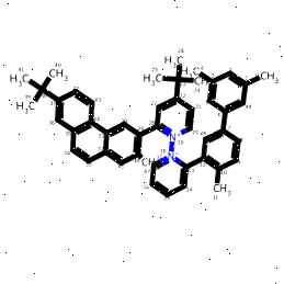 Cc1cc(C)cc(-c2ccc(C)c(-c3cccc[n+]3-[n+]3ccc(C(C)(C)C)cc3-c3cc4c(ccc5cc(C(C)(C)C)ccc54)cc3C)c2)c1